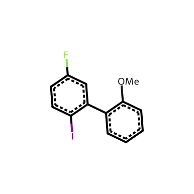 COc1ccccc1-c1cc(F)ccc1I